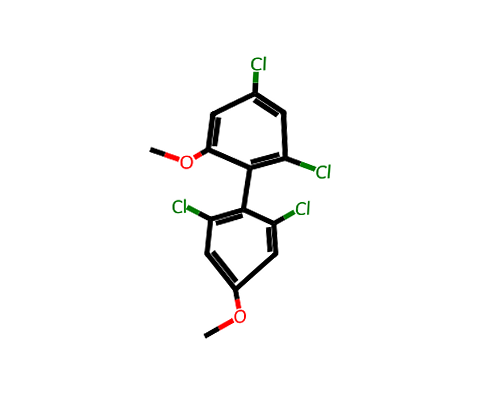 COc1cc(Cl)c(-c2c(Cl)cc(Cl)cc2OC)c(Cl)c1